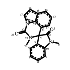 CN1C(=O)C2(c3ccccc31)c1cccc3ccn(c13)C(=O)N2C